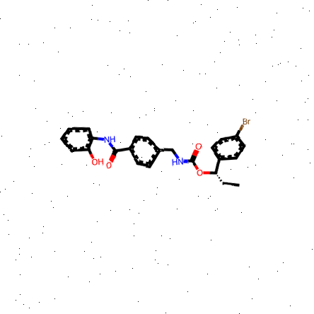 CC[C@H](OC(=O)NCc1ccc(C(=O)Nc2ccccc2O)cc1)c1ccc(Br)cc1